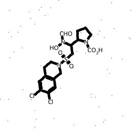 O=CN(O)C(CS(=O)(=O)N1CCc2cc(Cl)c(Cl)cc2C1)C1CCCN1C(=O)O